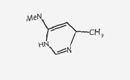 CNC1=CC(C)N=CN1